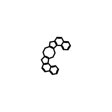 c1ccc2c3c(ccc2c1)CC1=C3CCC2=C(CC1)Cc1ccc3ccccc3c12